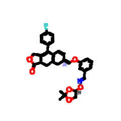 CC1(C)OC[C@H](ON=Cc2cccc(O/C=C3\C=CC4=C(C3)CC3C(=O)OCC3=C4c3ccc(F)cc3)c2)O1